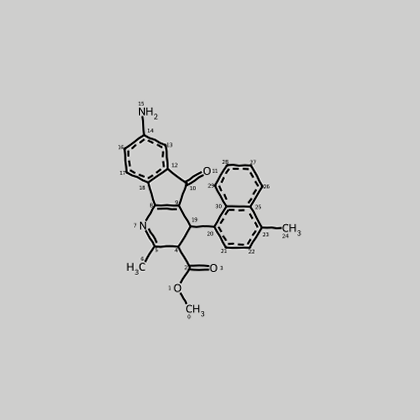 COC(=O)C1C(C)=NC2=C(C(=O)c3cc(N)ccc32)C1c1ccc(C)c2ccccc12